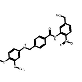 COc1ccc(NCc2ccc(C(=O)Nc3cc(CO)ccc3[N+](=O)[O-])cc2)cc1OC